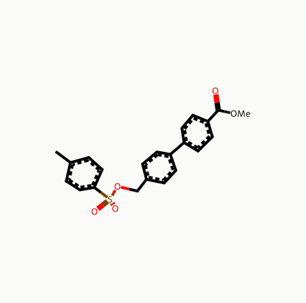 COC(=O)c1ccc(-c2ccc(COS(=O)(=O)c3ccc(C)cc3)cc2)cc1